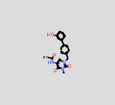 CCC(=O)Nc1cn(Cc2ccc(-c3cccc(O)c3)cc2)c(=O)n(C)c1=O